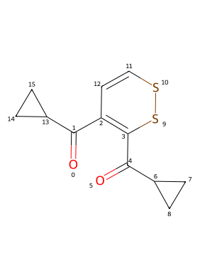 O=C(C1=C(C(=O)C2CC2)SSC=C1)C1CC1